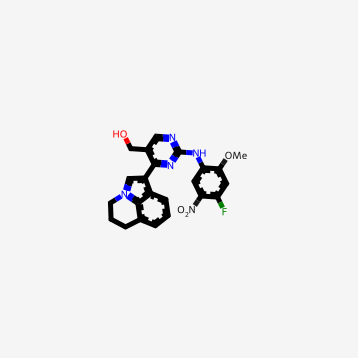 COc1cc(F)c([N+](=O)[O-])cc1Nc1ncc(CO)c(-c2cn3c4c(cccc24)CCC3)n1